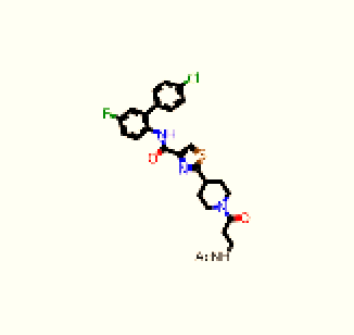 CC(=O)NCCC(=O)N1CCC(c2nc(C(=O)Nc3ccc(F)cc3-c3ccc(Cl)cc3)cs2)CC1